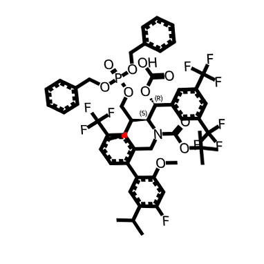 CCC(COP(=O)(OCc1ccccc1)OCc1ccccc1)[C@@H]([C@H](OC(=O)O)c1cc(C(F)(F)F)cc(C(F)(F)F)c1)N(Cc1cc(C(F)(F)F)ccc1-c1cc(C(C)C)c(F)cc1OC)C(=O)OC(C)(C)C